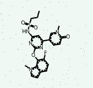 CCCS(=O)(=O)Nc1cc(-c2ccc(=O)n(C)c2)nc(Oc2c(F)ccc3ccn(C)c23)n1